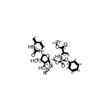 C=C1C=CN([C@@H]2O[C@@](COP(=O)(NC(C)C(=O)OC(C)C)Oc3ccccc3)(N=[N+]=[N-])[C@@H](O)[C@@H]2O)C(=O)N1